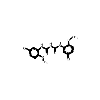 COc1ccc(Cl)cc1NC(=O)NC(=O)Nc1cc(Cl)ccc1OC